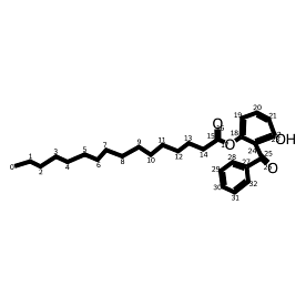 CCCCCCCCCCCCCCCC(=O)Oc1cccc(O)c1C(=O)c1ccccc1